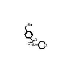 CC(C)(C)Cc1ccc(S(=O)(=O)NC2CCOCC2)cc1